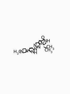 CC(C)C[C@H]1CNC(=O)c2cc3cnc(Nc4ccc(N5CCN(C)CC5)cn4)nc3n21